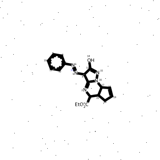 CCOC(=O)C1N=C2C(/N=N/c3ccccc3)C(O)=NN2C2C=CCC12